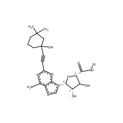 CCNC(=O)[C@H]1O[C@@H](n2cnc3c(N)nc(C#CC4(O)CCCC(C)(C)C4)nc32)[C@@H](O)C1O